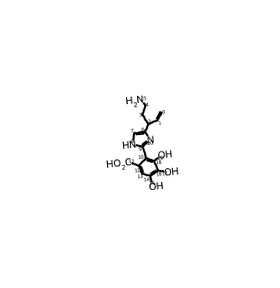 C=CC(CCN)c1c[nH]c(-c2c(C(=O)O)cc(O)c(O)c2O)n1